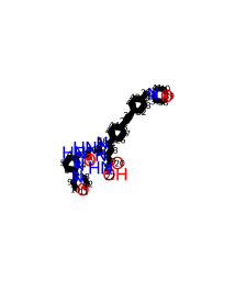 O=C(Nc1cccc(N2CCOCC2)n1)Nc1nc(C(=O)NO)cc(-c2ccc(C#Cc3ccc(CN4CCOCC4)cc3)cc2)n1